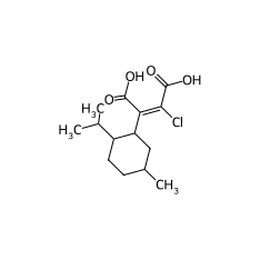 CC1CCC(C(C)C)C(/C(C(=O)O)=C(\Cl)C(=O)O)C1